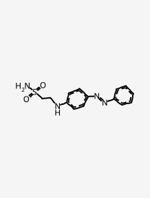 NS(=O)(=O)CCNc1ccc(N=Nc2ccccc2)cc1